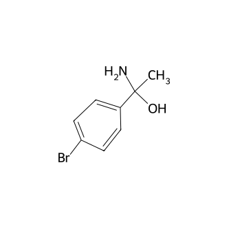 CC(N)(O)c1ccc(Br)cc1